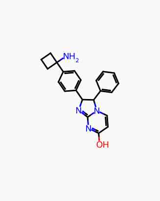 NC1(c2ccc(C3N=C4N=C(O)C=CN4C3c3ccccc3)cc2)CCC1